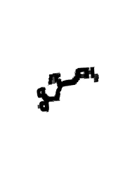 C/C=C(\CC)CC([O])=O